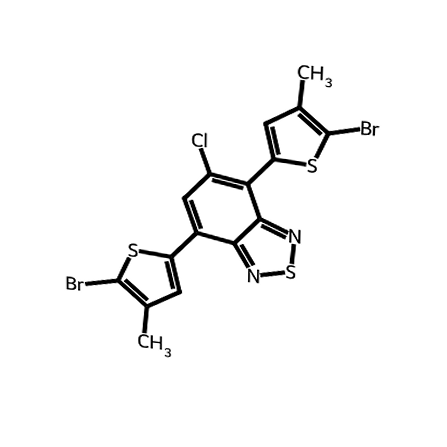 Cc1cc(-c2cc(Cl)c(-c3cc(C)c(Br)s3)c3nsnc23)sc1Br